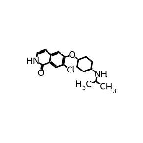 CC(C)N[C@H]1CC[C@@H](Oc2cc3cc[nH]c(=O)c3cc2Cl)CC1